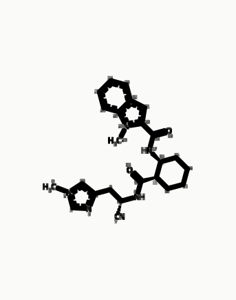 Cn1cnc(C[C@@H](C#N)NC(=O)[C@@H]2CCCC[C@@H]2NC(=O)c2cc3ccccc3n2C)c1